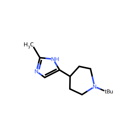 Cc1ncc(C2CCN(C(C)(C)C)CC2)[nH]1